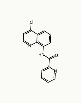 O=C(Nc1cccc2c(Cl)ccnc12)c1ccccn1